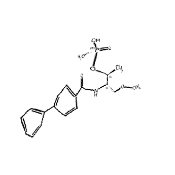 COC[C@H](NC(=O)c1ccc(-c2ccccc2)cc1)[C@H](C)O[P@](C)(=O)O